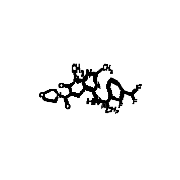 Cc1nc(N[C@H](C)c2cccc(C(F)F)c2F)c2cc(C(=O)N3CCOCC3)c(=O)n(C)c2n1